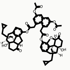 CC(=O)Oc1cc(CC(=O)Oc2ccc3c4c2C[C@H]2C(=O)CC[C@@]5(O)[C@@H](C3)N(CC3CC3)CC[C@]425)c2c(CC(=O)Oc3ccc4c5c3O[C@H]3C(=O)CC[C@@]6(O)[C@@H](C4)N(CC4CC4)CC[C@]536)cc(OC(C)=O)cc2c1